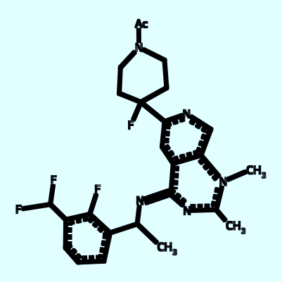 CC(=O)N1CCC(F)(c2cc3c(=NC(C)c4cccc(C(F)F)c4F)nc(C)n(C)c3cn2)CC1